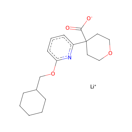 O=C([O-])C1(c2cccc(OCC3CCCCC3)n2)CCOCC1.[Li+]